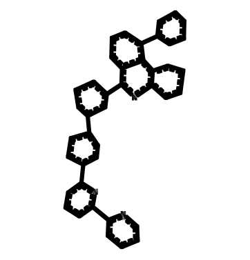 c1ccc(-c2cccc3c(-c4cccc(-c5ccc(-c6cccc(-c7ccccn7)n6)cc5)c4)nc4ccccc4c23)cc1